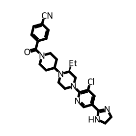 CC[C@H]1CN(c2ncc(C3=NCCN3)cc2Cl)CCN1C1CCN(C(=O)c2ccc(C#N)cc2)CC1